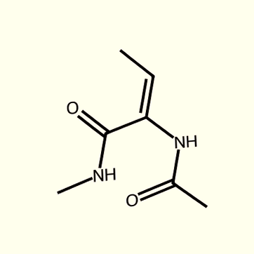 C/C=C(/NC(C)=O)C(=O)NC